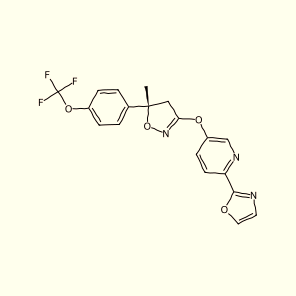 C[C@@]1(c2ccc(OC(F)(F)F)cc2)CC(Oc2ccc(-c3ncco3)nc2)=NO1